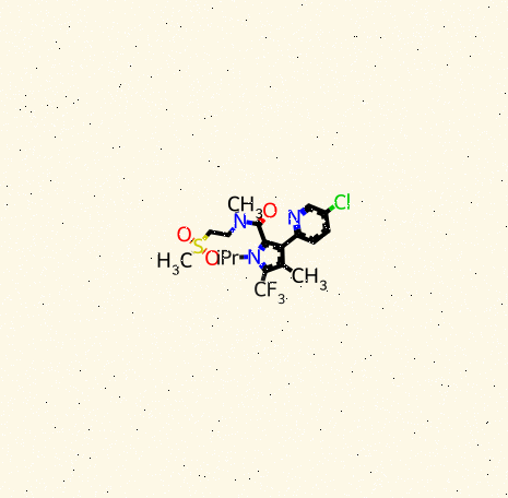 Cc1c(-c2ccc(Cl)cn2)c(C(=O)N(C)CCS(C)(=O)=O)n(C(C)C)c1C(F)(F)F